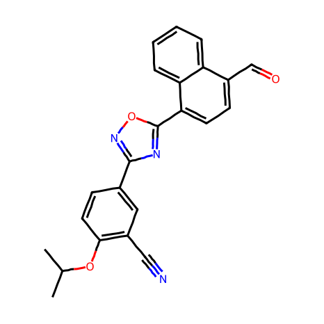 CC(C)Oc1ccc(-c2noc(-c3ccc(C=O)c4ccccc34)n2)cc1C#N